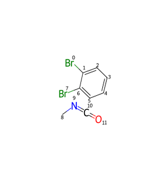 Brc1ccccc1Br.CN=C=O